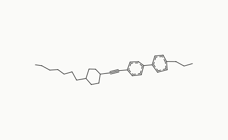 CCCCCCCC1CCC(C#Cc2ccc(-c3ccc(CCC)cc3)cc2)CC1